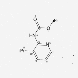 CC(C)OC(=O)Nc1ncccc1C(C)C